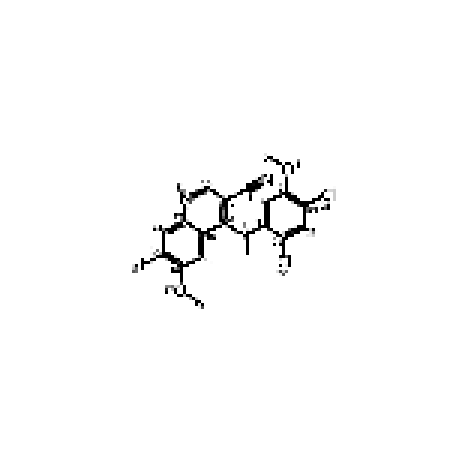 COc1cc(Nc2c(C#N)cnc3cc(I)c(OC)cc23)c(Cl)cc1Cl